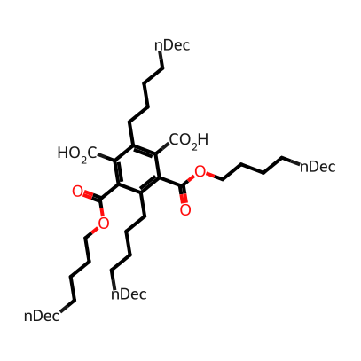 CCCCCCCCCCCCCCOC(=O)c1c(CCCCCCCCCCCCCC)c(C(=O)OCCCCCCCCCCCCCC)c(C(=O)O)c(CCCCCCCCCCCCCC)c1C(=O)O